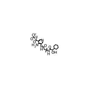 CC(C)(CC(=O)Nc1cncc(C(=O)OC(=O)C(F)(F)F)c1N)NC(=O)[C@@H](O)C1CCCCC1